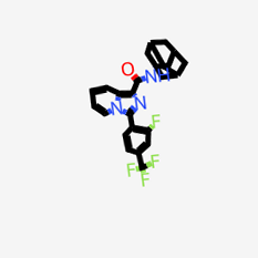 O=C(NC12CC3CC(CC(C3)C1)C2)c1nc(-c2ccc(C(F)(F)F)cc2F)n2ccccc12